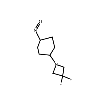 O=NC1CCC(N2CC(F)(F)C2)CC1